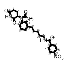 Cn1c(=O)n(C2CCC(=O)NC2=O)c2cccc(CCCCCNC(=O)c3ccc([N+](=O)[O-])cc3)c21